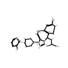 Fc1cccnc1[C@H]1CC[C@H](N2N=CN3C2=CNC2=C(CCC(Cl)=C2)C3CC(F)F)CC1